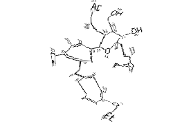 CCOc1ccc(Cc2cc(C3OC(COC(C)=O)C(O)C(O)C3CC(C)=O)ccc2Cl)cc1